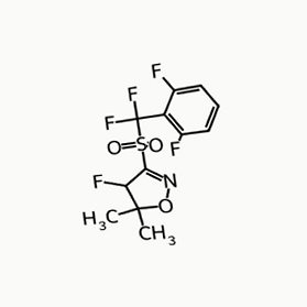 CC1(C)ON=C(S(=O)(=O)C(F)(F)c2c(F)cccc2F)C1F